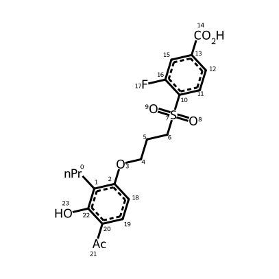 CCCc1c(OCCCS(=O)(=O)c2ccc(C(=O)O)cc2F)ccc(C(C)=O)c1O